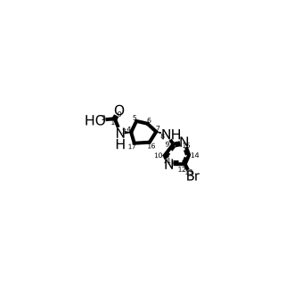 O=C(O)N[C@H]1CC[C@H](Nc2cnc(Br)cn2)CC1